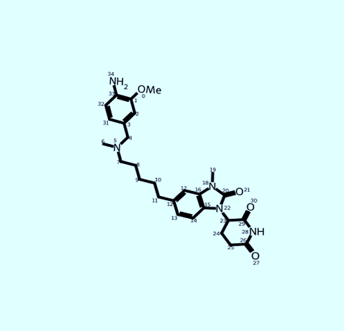 COc1cc(CN(C)CCCCCc2ccc3c(c2)n(C)c(=O)n3C2CCC(=O)NC2=O)ccc1N